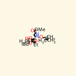 CC[C@H]1O[C@@H](c2cc(C(=O)OC)nn2COCC[Si](C)(C)C)[C@H](O)[C@@H]1O[Si](C)(C)C(C)(C)C